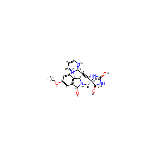 COc1ccc2c(c1)C(=O)N(C[C@]1(C#Cc3ncccn3)NC(=O)NC1=O)C2